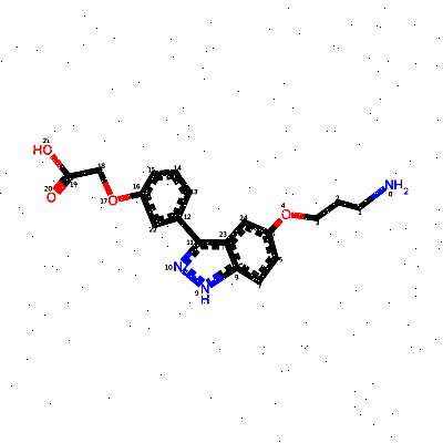 NCCCOc1ccc2[nH]nc(-c3cccc(OCC(=O)O)c3)c2c1